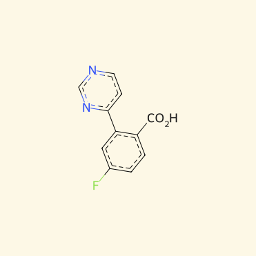 O=C(O)c1ccc(F)cc1-c1ccncn1